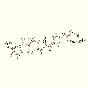 CNCc1cc(C(=O)N2CCN([C@H](C)C(=O)Nc3ccc(Oc4ccc(F)cc4)cn3)CC2(C)C)c[nH]c1=O